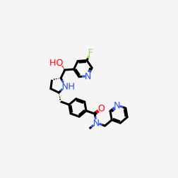 CN(Cc1cccnc1)C(=O)c1ccc(C[C@@H]2CC[C@H]([C@H](O)c3cncc(F)c3)N2)cc1